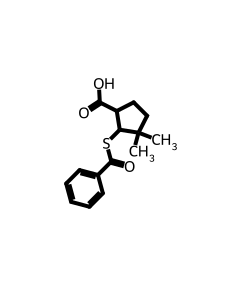 CC1(C)CCC(C(=O)O)C1SC(=O)c1ccccc1